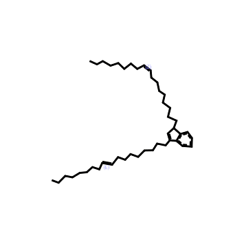 CCCCCCCC/C=C\CCCCCCCCC1C=C(CCCCCCCC/C=C/CCCCCCCC)c2ccccc21